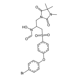 CN1C(=O)N(CC(CS(=O)(=O)c2ccc(Oc3ccc(Br)cc3)cc2)N(O)C=O)C(=O)C1(C)C